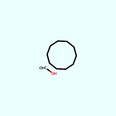 C1CCCCCCCCC1.O=CO